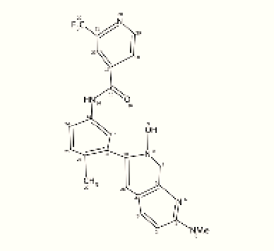 CNc1ccc2c(n1)CN(O)C(c1cc(NC(=O)c3ccnc(C(F)(F)F)c3)ccc1C)=C2